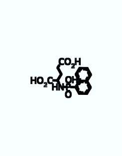 O=C(O)CCC(NP(=O)(O)c1cccc2ccccc12)C(=O)O